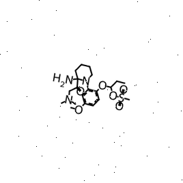 CCC(Oc1ccc(OC)cc1N1CCCCC1(N)C(=O)CN(C)C)OS(C)(=O)=O